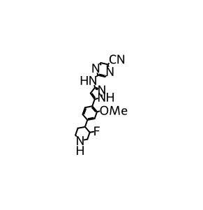 COc1cc(C2CCNCC2F)ccc1-c1cc(Nc2cnc(C#N)cn2)n[nH]1